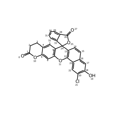 O=C1CCc2cc3c(cc2O1)Oc1c(ccc2cc(O)c(Cl)cc12)C31OC(=O)c2ccccc21